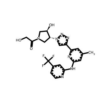 Cc1cc(Nc2cc(C(F)(F)F)ccn2)nc(-c2cn([C@@H]3CN(C(=O)CO)C[C@H]3O)nn2)c1